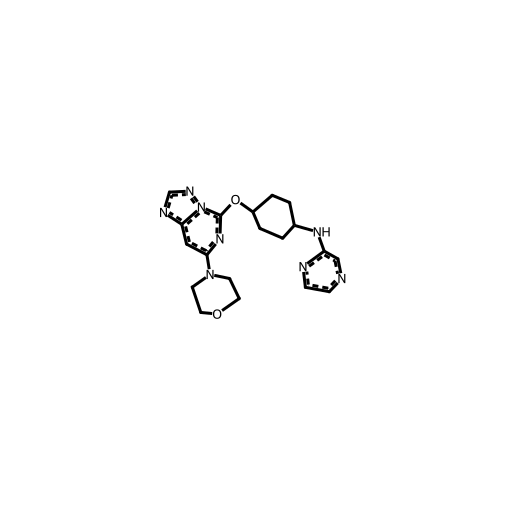 c1cnc(NC2CCC(Oc3nc(N4CCOCC4)cc4ncnn34)CC2)cn1